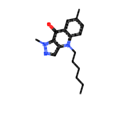 CCCCCCn1c2ccc(C)cc2c(=O)c2c1cnn2C